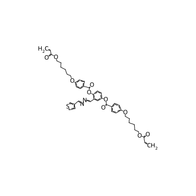 C=CC(=O)OCCCCCCOc1ccc(C(=O)Oc2ccc(OC(=O)c3ccc(OCCCCCCOC(=O)C=C)cc3)c(/C=N/N=C/c3ccsc3)c2)cc1